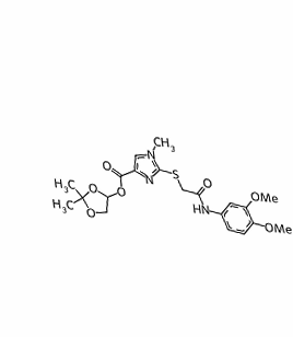 COc1ccc(NC(=O)CSc2nc(C(=O)OC3COC(C)(C)O3)cn2C)cc1OC